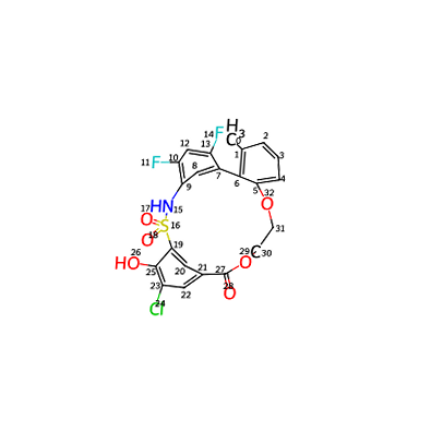 Cc1cccc2c1-c1cc(c(F)cc1F)NS(=O)(=O)c1cc(cc(Cl)c1O)C(=O)OCCO2